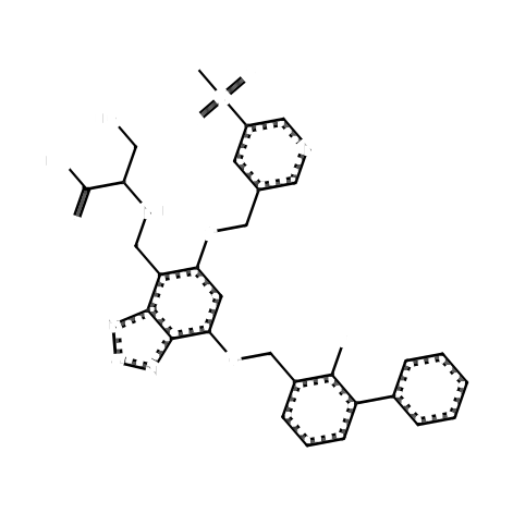 CS(=O)(=O)c1cncc(COc2cc(OCc3cccc(-c4ccccc4)c3Br)c3nonc3c2CNC(CO)C(=O)O)c1